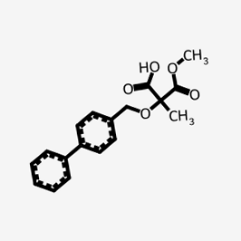 COC(=O)C(C)(OCc1ccc(-c2ccccc2)cc1)C(=O)O